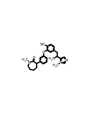 CN1CCCCC(c2cccc(Oc3cc(CC(N)c4cncn4C)ccc3C#N)c2)C1=O